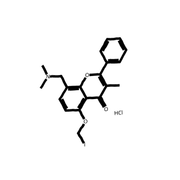 Cc1c(-c2ccccc2)oc2c(CN(C)C)ccc(OCI)c2c1=O.Cl